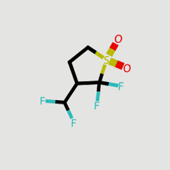 O=S1(=O)CCC(C(F)F)C1(F)F